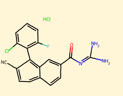 Cl.N#Cc1ccc2ccc(C(=O)N=C(N)N)cc2c1-c1c(F)cccc1Cl